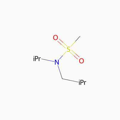 CC(C)CN(C(C)C)S(C)(=O)=O